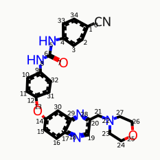 N#Cc1ccc(NC(=O)Nc2ccc(Oc3ccc4ncc(CN5CCOCC5)nc4c3)cc2)cc1